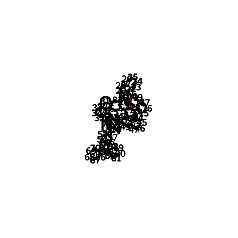 c1ccc(-c2cc3c(cc2-n2c4cc5ccccc5cc4c4c5ccccc5ccc42)oc2cccc(-c4nc(-c5ccc6ccccc6c5)nc(-c5ccc6c(c5)c5ccccc5n6-c5ccccc5)n4)c23)cc1